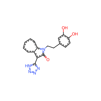 O=c1c(-c2nnn[nH]2)c2cccccc-2n1CCc1ccc(O)c(O)c1